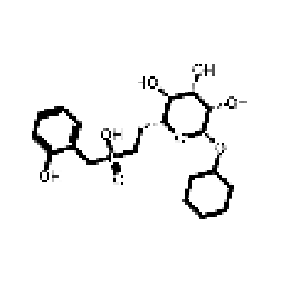 O=P(O)(CC[C@H]1O[C@H](OC2CCCCC2)[C@@H](O)[C@@H](O)[C@@H]1O)Cc1ccccc1O